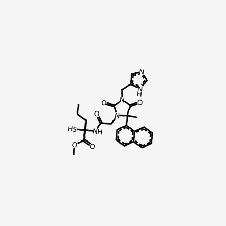 CCCC(S)(NC(=O)CN1C(=O)N(Cc2cnc[nH]2)C(=O)C1(C)c1cccc2ccccc12)C(=O)OC